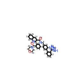 O=C(c1cccc(N(Cc2ccc(-c3ccccc3-c3nnn[nH]3)cc2)C(=O)c2cnc3ccccc3c2)c1)N1CCOCC1